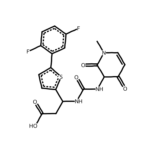 CN1C=CC(=O)C(NC(=O)NC(CC(=O)O)c2ccc(-c3cc(F)ccc3F)s2)C1=O